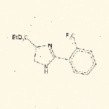 CCOC(=O)C1CNC(c2ccccc2C(F)(F)F)=N1